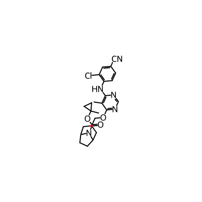 Cc1c(Nc2ccc(C#N)cc2Cl)ncnc1OCC1CC2CCC(C1)N2C(=O)OC1(C)CC1